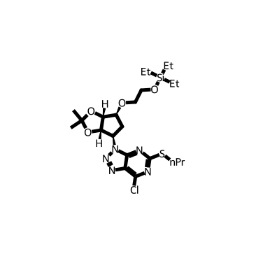 CCCSc1nc(Cl)c2nnn([C@@H]3C[C@H](OCCO[Si](CC)(CC)CC)[C@H]4OC(C)(C)O[C@H]43)c2n1